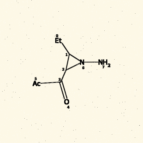 CCC1C(C(=O)C(C)=O)N1N